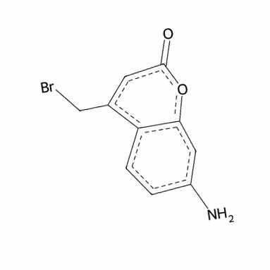 Nc1ccc2c(CBr)cc(=O)oc2c1